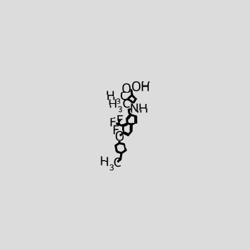 CCC1CCC(Oc2ccc3ccc(CNC4CC(C(=O)O)C4(C)C)cc3c2C(F)(F)F)CC1